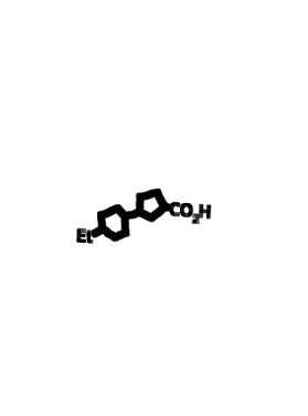 CCC1CCC(C2CCC(C(=O)O)C2)CC1